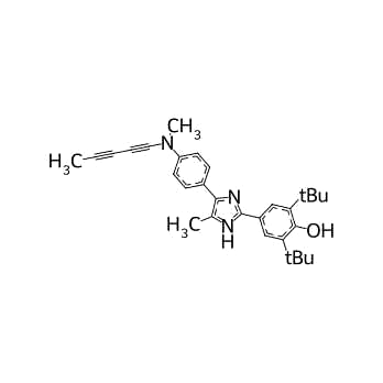 CC#CC#CN(C)c1ccc(-c2nc(-c3cc(C(C)(C)C)c(O)c(C(C)(C)C)c3)[nH]c2C)cc1